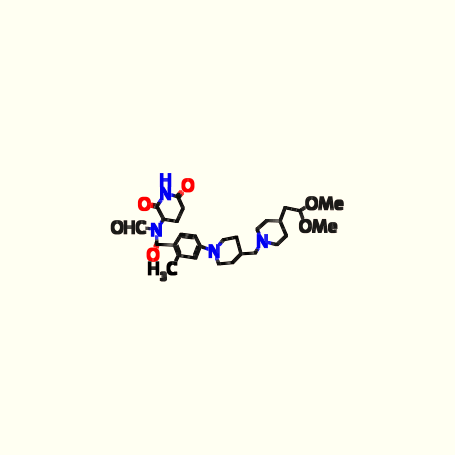 COC(CC1CCN(CC2CCN(c3ccc(C(=O)N(C=O)C4CCC(=O)NC4=O)c(C)c3)CC2)CC1)OC